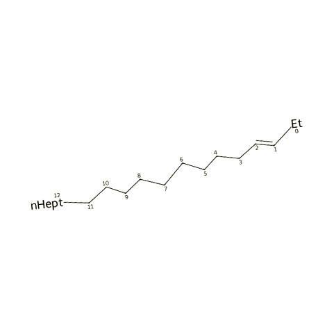 [CH2]CC=CCCCCCCCCCCCCCCCC